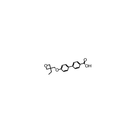 CCC1(COc2ccc(-c3ccc(C(=O)O)cc3)cc2)COC1